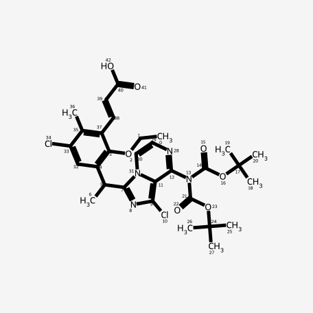 CCOc1c(C(C)c2nc(Cl)c3c(N(C(=O)OC(C)(C)C)C(=O)OC(C)(C)C)nccn23)cc(Cl)c(C)c1C=CC(=O)O